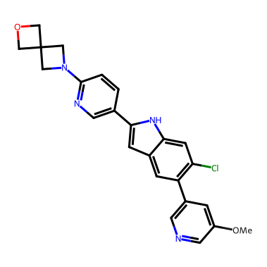 COc1cncc(-c2cc3cc(-c4ccc(N5CC6(COC6)C5)nc4)[nH]c3cc2Cl)c1